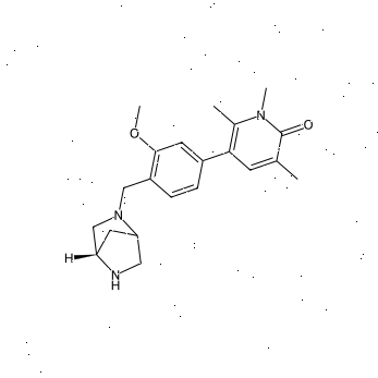 COc1cc(-c2cc(C)c(=O)n(C)c2C)ccc1CN1C[C@@H]2CC1CN2